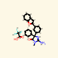 CN1C(=O)C(c2ccccc2)(c2cccc(-c3cc4ccccc4o3)c2)N=C1N.O=C(O)C(F)(F)F